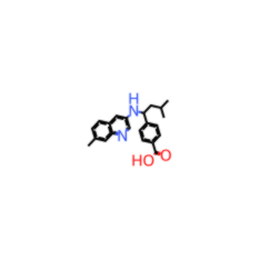 Cc1ccc2cc(NC(CC(C)C)c3ccc(C(=O)O)cc3)cnc2c1